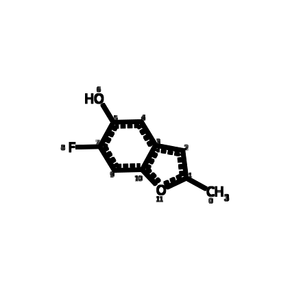 Cc1cc2cc(O)c(F)cc2o1